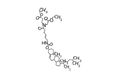 CCOC(=O)CCN(CC(=O)OCC)C(=O)CCCCCNC(=O)O[C@H]1CC[C@@]2(C)C(=CCC3C4CCC(C(C)CCCC(C)C)[C@@]4(C)CCC32)C1